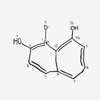 [O-][n+]1c(O)ccc2cccc(O)c21